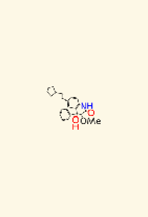 COC1C(=O)Nc2ccc(/C=C/C3CCCC3)cc2C1(O)c1ccccc1